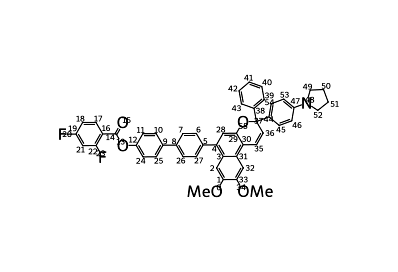 COc1cc2c(-c3ccc(-c4ccc(OC(=O)c5ccc(F)cc5F)cc4)cc3)cc3c(c2cc1OC)C=CC(c1ccccc1)(c1ccc(N2CCCC2)cc1)O3